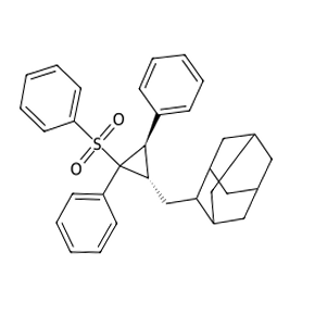 O=S(=O)(c1ccccc1)C1(c2ccccc2)[C@@H](CC2C3CC4CC(C3)CC2C4)[C@@H]1c1ccccc1